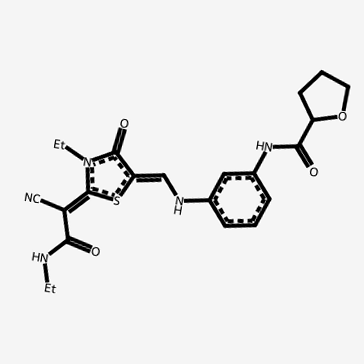 CCNC(=O)C(C#N)=c1sc(=CNc2cccc(NC(=O)C3CCCO3)c2)c(=O)n1CC